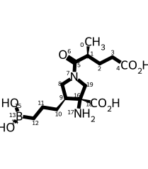 C[C@@H](CCC(=O)O)C(=O)N1C[C@H](CCCB(O)O)[C@](N)(C(=O)O)C1